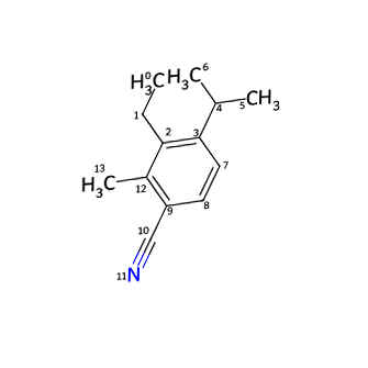 CCc1c(C(C)C)ccc(C#N)c1C